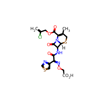 C=C(Cl)COC(=O)C1=C(C)CS[C@H]2C(NC(=O)C(=NOCC(=O)O)c3cscn3)C(=O)N12